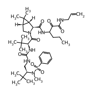 C=CCNC(=O)C(=O)C(CCC)NC(=O)[C@@H]1[C@@H]2[C@H](CN1C(=O)[C@@H](NC(=O)NC[C@@H](N(C)S(=O)(=O)c1ccccc1)C(C)(C)C)C(C)(C)C)C2(C)C